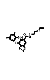 C=COCCONC(=O)c1cc2snnc2c(F)c1Nc1ccc(C)cc1F